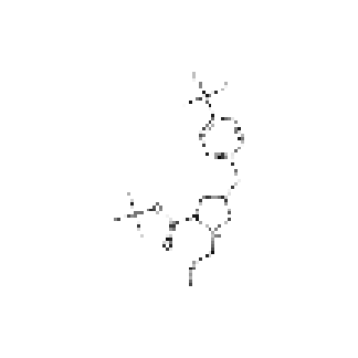 COC[C@@H]1CC(Cc2ccc(C(F)(F)F)cc2)CN1C(=O)OC(C)(C)C